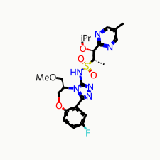 COC[C@@H]1COc2ccc(F)cc2-c2nnc(NS(=O)(=O)[C@@H](C)[C@@H](OC(C)C)c3ncc(C)cn3)n21